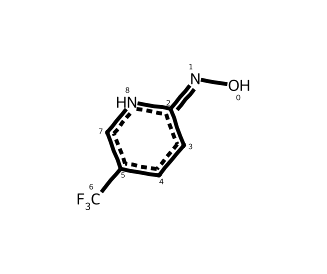 O/N=c1\ccc(C(F)(F)F)c[nH]1